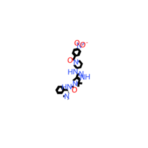 CN(C)C[C@@H](NC(=O)N1Cc2c(NC3CCCN(C(=O)c4ccc([N+](=O)[O-])cc4)C3)n[nH]c2C1(C)C)c1ccccc1